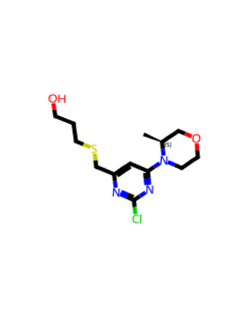 C[C@H]1COCCN1c1cc(CSCCCO)nc(Cl)n1